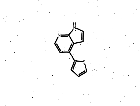 c1csc(-c2ccnc3[nH]ccc23)c1